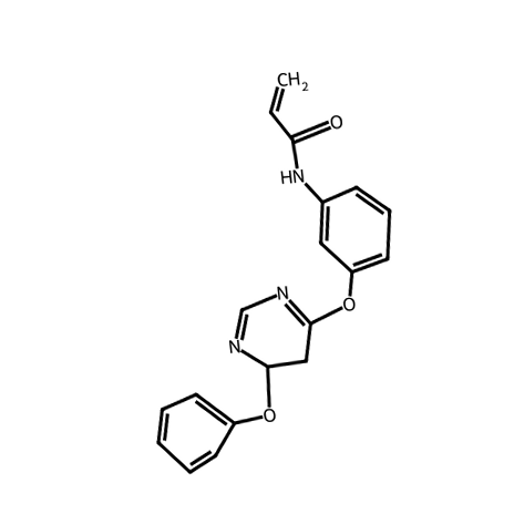 C=CC(=O)Nc1cccc(OC2=NC=NC(Oc3ccccc3)C2)c1